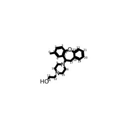 Cc1ccc2c(c1)C(N1CCN(CCO)CC1)Cc1ccccc1O2